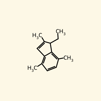 CCC1C(C)=Cc2c(C)ccc(C)c21